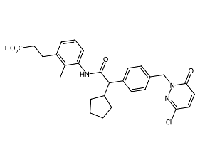 Cc1c(CCC(=O)O)cccc1NC(=O)C(c1ccc(Cn2nc(Cl)ccc2=O)cc1)C1CCCC1